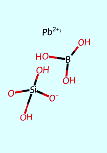 OB(O)O.[O-][Si]([O-])(O)O.[Pb+2]